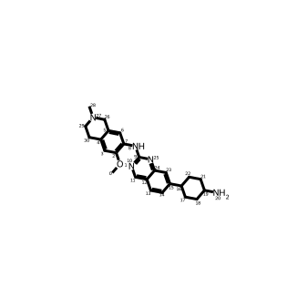 COc1cc2c(cc1Nc1ncc3ccc(C4CCC(N)CC4)cc3n1)CN(C)CC2